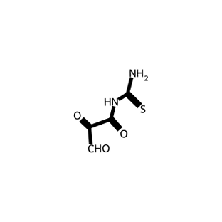 NC(=S)NC(=O)C(=O)C=O